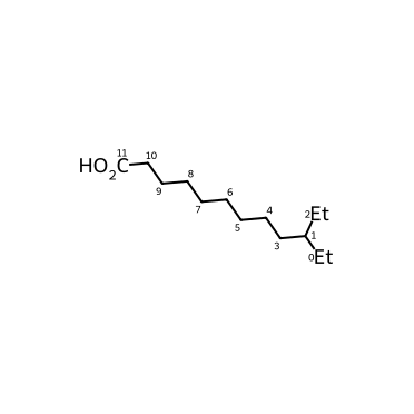 CCC(CC)CCCCCCCCC(=O)O